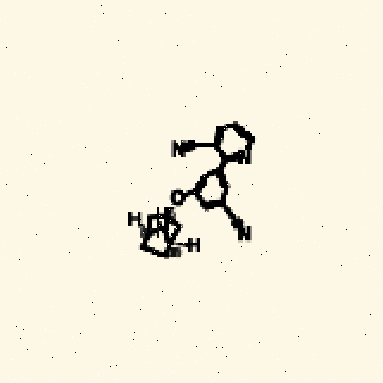 N#Cc1cc(O[C@@H]2C[C@H]3CC[C@@H](C2)N3)cc(-c2ncccc2C#N)c1